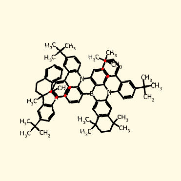 CC(C)(C)c1ccc(N2c3cc(N4c5ccc(C(C)(C)C)cc5C5(C)CCc6ccccc6C45C)ccc3B3c4cc5c(cc4N(c4ccc(C(C)(C)C)cc4-c4ccccc4)c4cc(C(C)(C)C)cc2c43)C(C)(C)CCC5(C)C)c(-c2ccccc2)c1